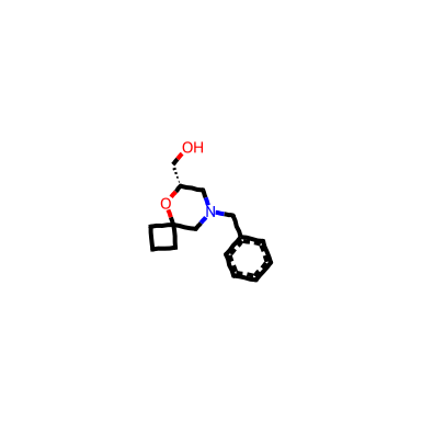 OC[C@@H]1CN(Cc2ccccc2)CC2(CCC2)O1